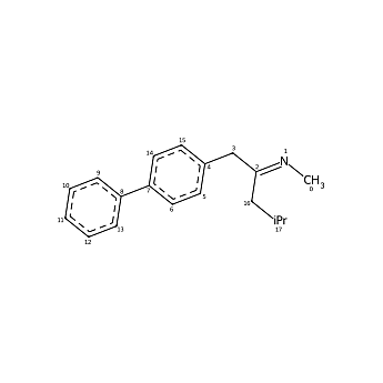 C/N=C(/Cc1ccc(-c2ccccc2)cc1)CC(C)C